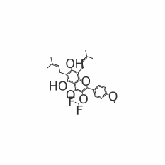 COc1ccc(-c2oc3c(CC=C(C)C)c(O)c(CC=C(C)C)c(O)c3c(=O)c2OC(F)F)cc1